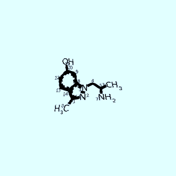 Cc1nn(CC(C)N)c2cc(O)ccc12